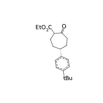 CCOC(=O)C1CC[C@@H](c2ccc(C(C)(C)C)cc2)CCC1=O